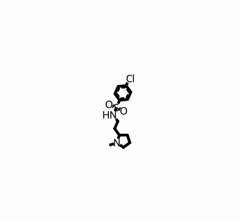 CN1CCCC1CCNS(=O)(=O)c1ccc(Cl)cc1